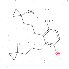 CC1(CCCc2c(O)ccc(O)c2CCCC2(C)CC2)CC1